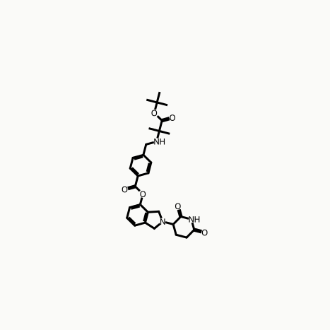 CC(C)(C)OC(=O)C(C)(C)NCc1ccc(C(=O)Oc2cccc3c2CN(C2CCC(=O)NC2=O)C3)cc1